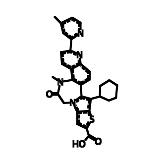 Cc1ccnc(-c2ccc3c4c(ccc3n2)-c2c(C3CCCCC3)c3sc(C(=O)O)cc3n2CC(=O)N4C)c1